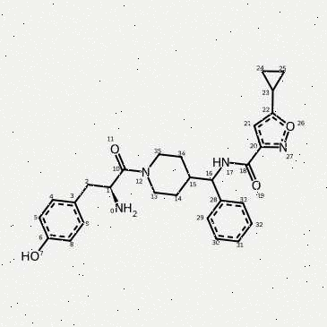 N[C@@H](Cc1ccc(O)cc1)C(=O)N1CCC(C(NC(=O)c2cc(C3CC3)on2)c2ccccc2)CC1